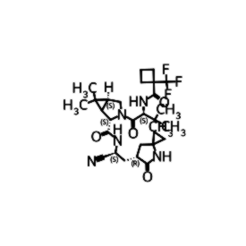 CC(C)(C)[C@H](NC(=O)C1(C(F)(F)F)CCC1)C(=O)N1C[C@H]2C([C@H]1C(=O)N[C@H](C#N)C[C@@H]1CC3(CC3)NC1=O)C2(C)C